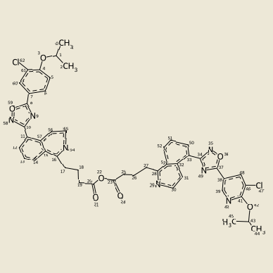 CC(C)Oc1ccc(-c2nc(-c3cccc4c(CCCC(=O)OC(=O)CCCc5nccc6c(-c7noc(-c8cnc(OC(C)C)c(Cl)c8)n7)cccc56)nccc34)no2)cc1Cl